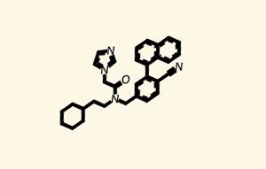 N#Cc1ccc(CN(CCC2CCCCC2)C(=O)Cn2ccnc2)cc1-c1cccc2ccccc12